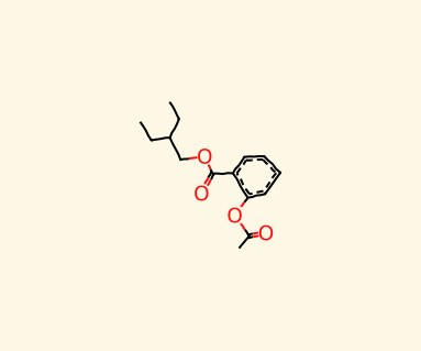 CCC(CC)COC(=O)c1ccccc1OC(C)=O